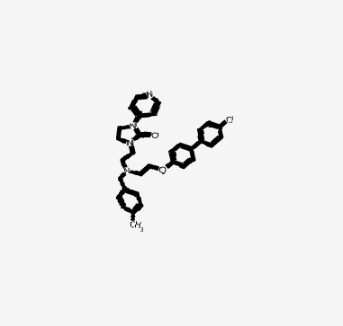 Cc1ccc(CN(CCOc2ccc(-c3ccc(Cl)cc3)cc2)CCN2CCN(c3ccncc3)C2=O)cc1